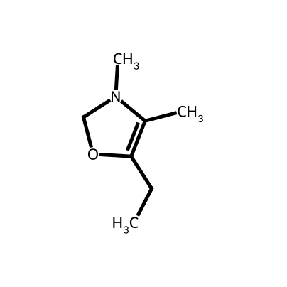 CCC1=C(C)N(C)CO1